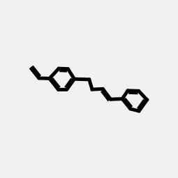 C=Cc1ccc(CCC=Cc2ccccc2)cc1